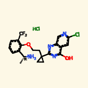 C[C@@H](N)c1cccc(C(F)(F)F)c1OCCC1(c2nc(O)c3cc(Cl)ncc3n2)CC1.Cl